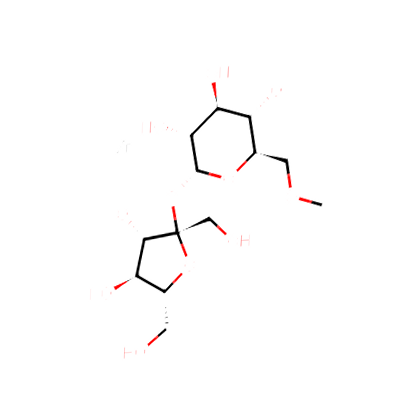 COC[C@H]1O[C@H](O[C@]2(CO)O[C@H](CO)[C@@H](O)[C@@H]2O)[C@H](O)[C@@H](O)[C@@H]1O.[Zr]